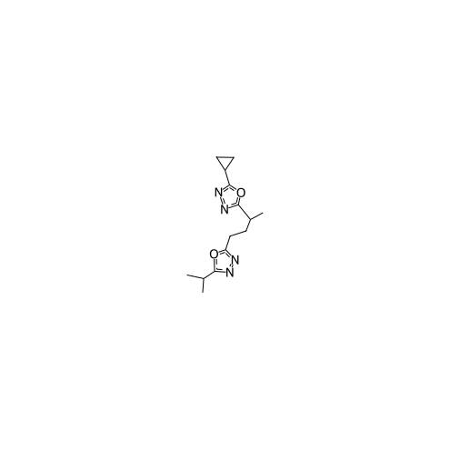 CC(C)c1nnc(CCC(C)c2nnc(C3CC3)o2)o1